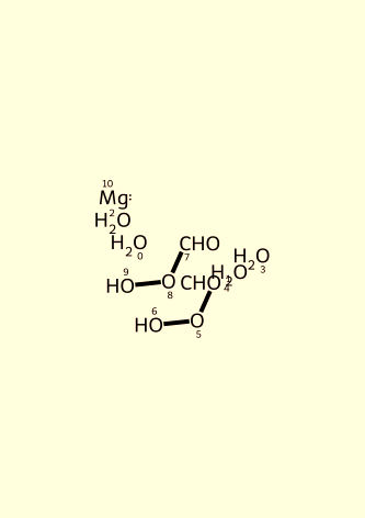 O.O.O.O.O=COO.O=COO.[Mg]